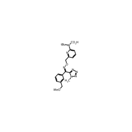 COCc1cccc(C(=NOCc2cccc(N(C(=O)O)C(C)(C)C)n2)c2nnnn2C)c1